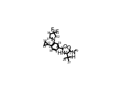 CNC(=O)C(NC(=O)c1ccc(C2CC2)c(N2CCC(F)(F)C2)c1)C(C)(C)C